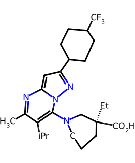 CC[C@]1(C(=O)O)CCCN(c2c(C(C)C)c(C)nc3cc(C4CCC(C(F)(F)F)CC4)nn23)C1